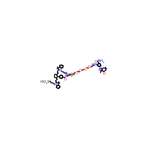 Cc1nn(-c2ccc(C(N)=O)c(NCCCOCCOCCOCCOCCOCCCNC(=O)c3ccc(C4=C(/C=C/C5N(CCCCS(=O)(=O)O)c6ccccc6C5(C)C)CCC/C4=C\C=C4\N(CCCCS(=O)(=O)O)c5ccccc5C4(C)C)cc3)c2)c2c1C(=O)CC(C)(C)C2